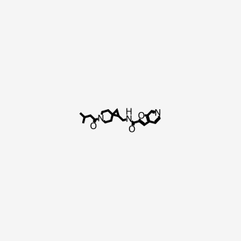 CC(C)CC(=O)N1CCC2(CC1)CC2CNC(=O)c1cc2ccncc2o1